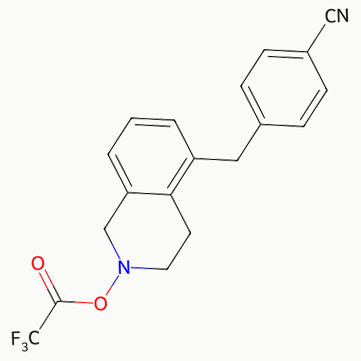 N#Cc1ccc(Cc2cccc3c2CCN(OC(=O)C(F)(F)F)C3)cc1